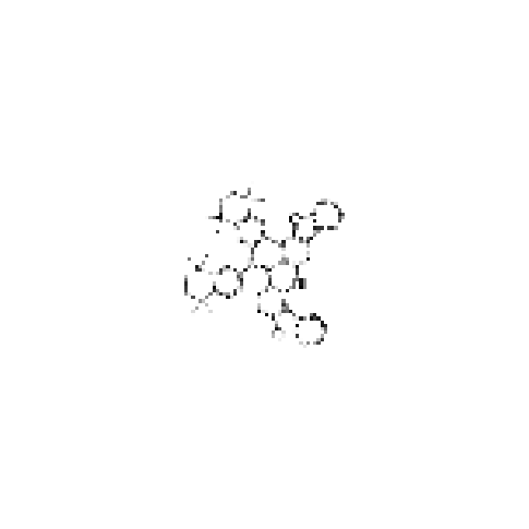 CC1(C)CCC(C)(C)c2cc(N3B4c5ccc6oc7ccccc7c6c5Nc5cc6c(oc7ccccc76)c(c54)-c4cc5c(cc43)C(C)(C)CCC5(C)C)ccc21